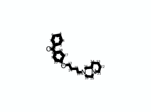 O=C(c1ccccc1)c1ccc(OCCCCN2CCN3CCCCC3C2)cc1